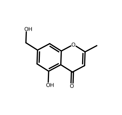 Cc1cc(=O)c2c(O)cc(CO)cc2o1